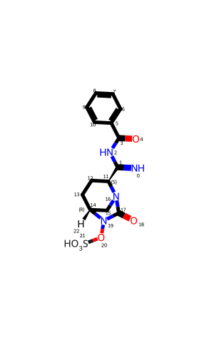 N=C(NC(=O)c1ccccc1)[C@@H]1CC[C@@H]2CN1C(=O)N2OS(=O)(=O)O